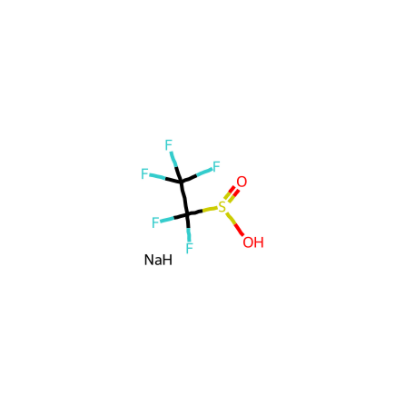 O=S(O)C(F)(F)C(F)(F)F.[NaH]